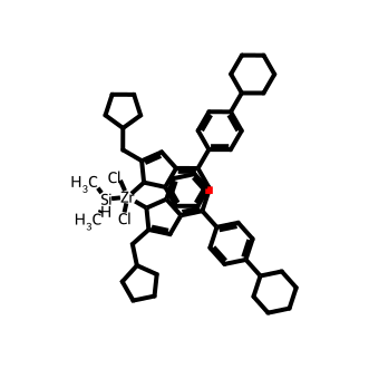 C[SiH](C)[Zr]([Cl])([Cl])([CH]1C(CC2CCCC2)=Cc2c(-c3ccc(C4CCCCC4)cc3)cccc21)[CH]1C(CC2CCCC2)=Cc2c(-c3ccc(C4CCCCC4)cc3)cccc21